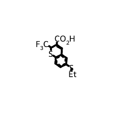 CCSc1ccc2c(c1)C=C(C(=O)O)C(C(F)(F)F)S2